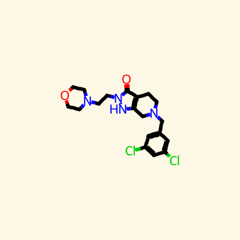 O=c1c2c([nH]n1CCN1CCOCC1)CN(Cc1cc(Cl)cc(Cl)c1)CC2